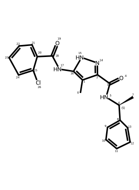 Cc1c(C(=O)N[C@@H](C)c2ccccc2)n[nH]c1NC(=O)c1ccccc1Cl